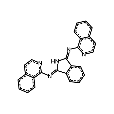 c1ccc2c(c1)/C(=N/c1nccc3ccccc13)N/C2=N/c1nccc2ccccc12